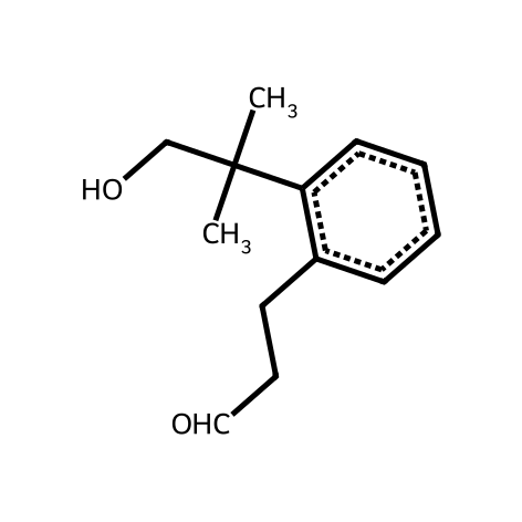 CC(C)(CO)c1ccccc1CCC=O